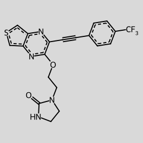 O=C1NCCN1CCOc1nc2cscc2nc1C#Cc1ccc(C(F)(F)F)cc1